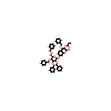 CCC(=O)Oc1c(OCc2ccccc2)c2ccc(O[C@@H]3O[C@H](COCc4ccccc4)[C@@H](OCc4ccccc4)[C@H](OCc4ccccc4)[C@H]3OCc3ccccc3)cc2oc1=O